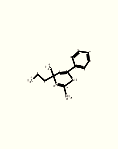 CCCC1(N)C=C(c2ccccc2)NC(N)=N1